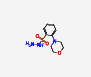 NNS(=O)(=O)c1ccccc1N1CCOCC1